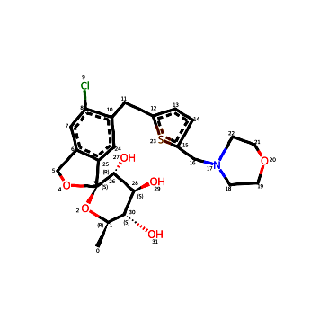 C[C@H]1O[C@]2(OCc3cc(Cl)c(Cc4ccc(CN5CCOCC5)s4)cc32)[C@H](O)[C@@H](O)[C@@H]1O